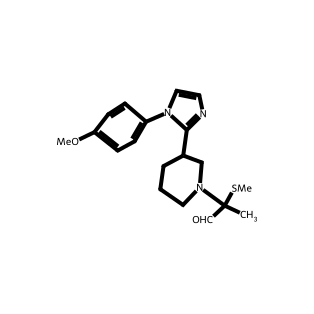 COc1ccc(-n2ccnc2C2CCCN(C(C)(C=O)SC)C2)cc1